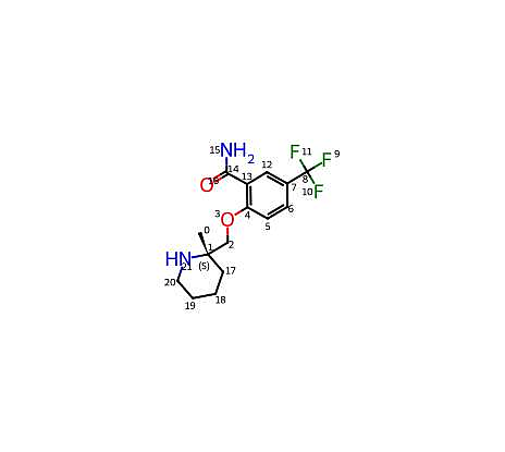 C[C@@]1(COc2ccc(C(F)(F)F)cc2C(N)=O)CCCCN1